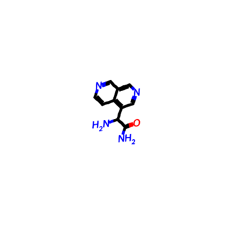 NC(=O)C(N)c1cncc2cnccc12